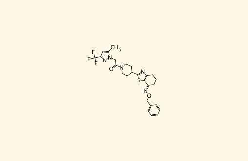 Cc1cc(C(F)(F)F)nn1CC(=O)N1CCC(c2nc3c(s2)C(=NOCc2ccccc2)CCC3)CC1